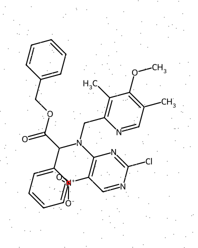 COc1c(C)cnc(CN(c2nc(Cl)ncc2[N+](=O)[O-])C(C(=O)OCc2ccccc2)c2ccccc2)c1C